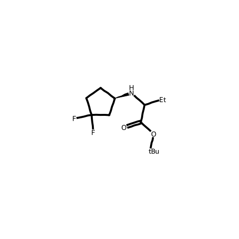 CCC(N[C@@H]1CCC(F)(F)C1)C(=O)OC(C)(C)C